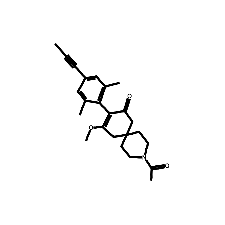 CC#Cc1cc(C)c(C2=C(OC)CC3(CCN(C(C)=O)CC3)CC2=O)c(C)c1